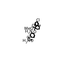 COC(OC)C1(COc2ccc(S(N)(=O)=O)cc2N)CCCc2cc(Cl)ccc21